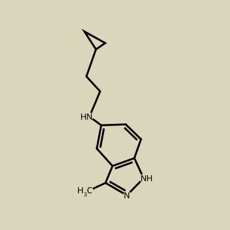 Cc1n[nH]c2ccc(NCCC3CC3)cc12